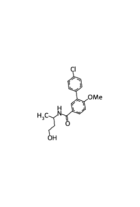 COc1ccc(C(=O)NC(C)CCO)cc1-c1ccc(Cl)cc1